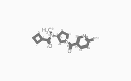 CN(C(=O)C1CCC1)[C@H]1CCN(C(=O)c2ccc(F)nc2)C1